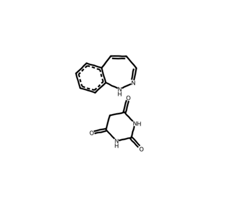 C1=Cc2ccccc2NN=C1.O=C1CC(=O)NC(=O)N1